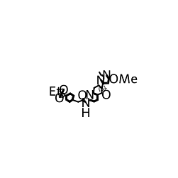 CCS(=O)(=O)c1ccc(CC(=O)Nc2ccc3c(n2)CC[C@@](C)(c2cc(OC)nc(C)n2)C3=O)cc1